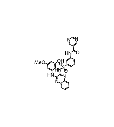 COc1cc(O)cc(Nc2nc3ccccc3nc2NS(=O)(=O)c2cccc(NC(=O)c3cncnc3)c2)c1